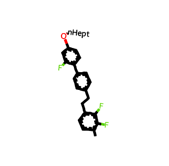 CCCCCCCOc1ccc(-c2ccc(CCc3ccc(C)c(F)c3F)cc2)c(F)c1